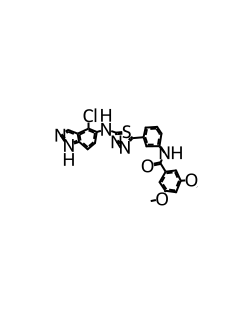 COc1cc(OC)cc(C(=O)Nc2cccc(-c3nnc(Nc4ccc5[nH]ncc5c4Cl)s3)c2)c1